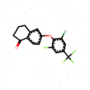 O=C1CCCc2cc(Oc3c(F)cc(C(F)(F)F)cc3Cl)ccc21